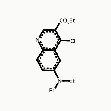 CCOC(=O)c1cnc2ccc(N(CC)CC)cc2c1Cl